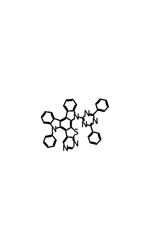 c1ccc(-c2nc(-c3ccccc3)nc(-n3c4ccccc4c4c5c6ccccc6n(-c6ccccc6)c5c5c6cncnc6sc5c43)n2)cc1